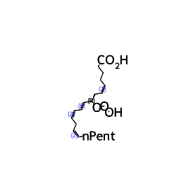 CCCCC/C=C\C/C=C\C=C\[C@@H](C/C=C\CCCC(=O)O)OOO